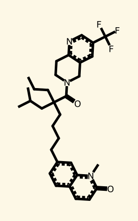 CCCC(CCCCc1ccc2ccc(=O)n(C)c2c1)(CC(C)C)C(=O)N1CCc2ncc(C(F)(F)F)cc2C1